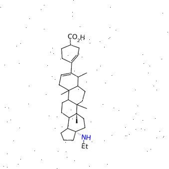 CCN[C@]12CCCC1C1CCC3C4(C)CC=C(C5=CCC(C(=O)O)CC5)C(C)C4CCC3(C)[C@]1(C)CC2